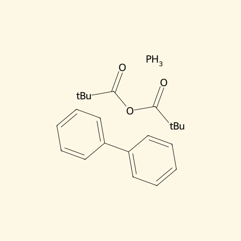 CC(C)(C)C(=O)OC(=O)C(C)(C)C.P.c1ccc(-c2ccccc2)cc1